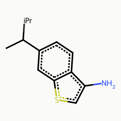 CC(C)C(C)c1ccc2c(N)csc2c1